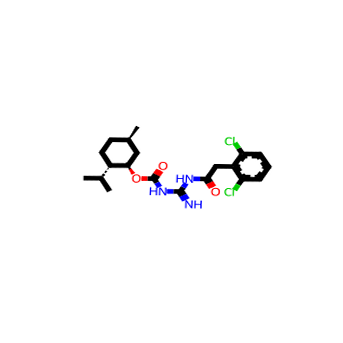 CC(C)[C@@H]1CC[C@@H](C)C[C@H]1OC(=O)NC(=N)NC(=O)Cc1c(Cl)cccc1Cl